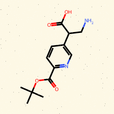 CC(C)(C)OC(=O)c1ccc(C(CN)C(=O)O)cn1